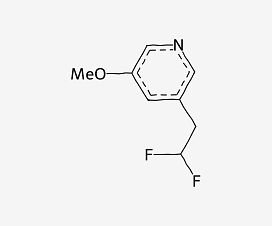 COc1cncc(CC(F)F)c1